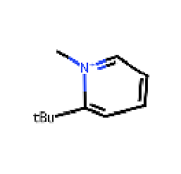 C[n+]1ccccc1C(C)(C)C